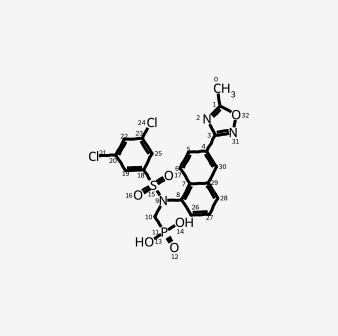 Cc1nc(-c2ccc3c(N(CP(=O)(O)O)S(=O)(=O)c4cc(Cl)cc(Cl)c4)cccc3c2)no1